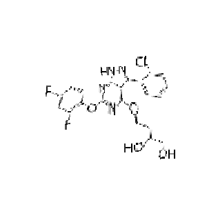 OCC(O)CCOc1nc(Oc2ccc(F)cc2F)nc2[nH]nc(-c3ccccc3Cl)c12